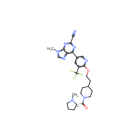 CN1CCC[C@H]1C(=O)N1CCC(CCOc2ncc(-c3nc(C#N)nc4c3ncn4C)cc2C(F)(F)F)CC1